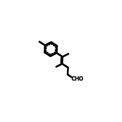 C/C(CCC=O)=C(/C)c1ccc(C)cc1